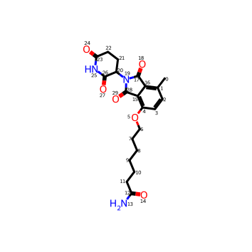 Cc1ccc(OCCCCCCC(N)=O)c2c1C(=O)N(C1CCC(=O)NC1=O)C2=O